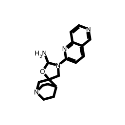 NC1OC2(CN3CCC2CC3)CN1c1ccc2cnccc2n1